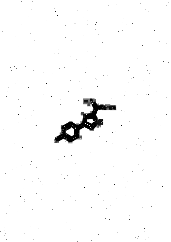 CCCCCCC(N)c1nc(-c2ccc(C)cc2)c[nH]1